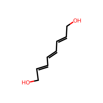 OC/C=C/C=C/C=C/CO